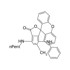 CCCCCNc1cc(C)c(Nc2ccccc2)c2c1C(=O)OC21c2ccccc2Oc2ccccc21